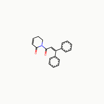 O=C1C=CCCN1C(=O)C=C(c1ccccc1)c1ccccc1